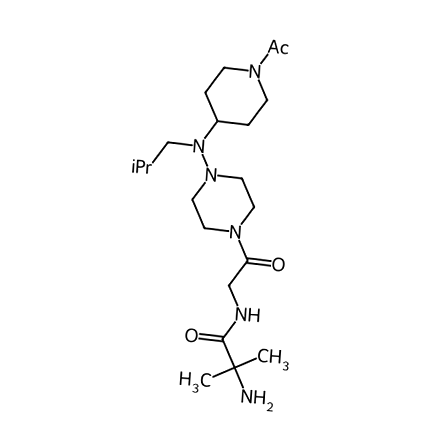 CC(=O)N1CCC(N(CC(C)C)N2CCN(C(=O)CNC(=O)C(C)(C)N)CC2)CC1